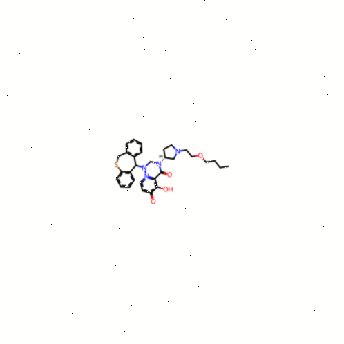 CCCCOCCN1CC[C@@H](N2CN(C3c4ccccc4CSc4ccccc43)n3ccc(=O)c(O)c3C2=O)C1